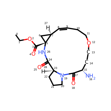 CCOC(=O)[C@@]12C[C@H]1/C=C\CCOCC[C@H](N)C(=O)N1CCC[C@H]1C(=O)N2